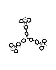 c1ccc2c(c1)Oc1ccccc1N2c1ccc(-c2ccc(N(c3ccc(-c4ccc(N5c6ccccc6Oc6ccccc65)cc4)cc3)c3ccc(-c4ccc(N5c6ccccc6Oc6ccccc65)cc4)cc3)cc2)cc1